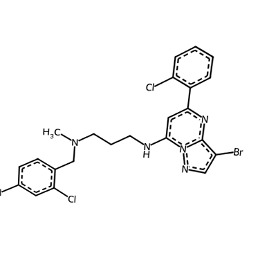 CN(CCCNc1cc(-c2ccccc2Cl)nc2c(Br)cnn12)Cc1ccc(Cl)cc1Cl